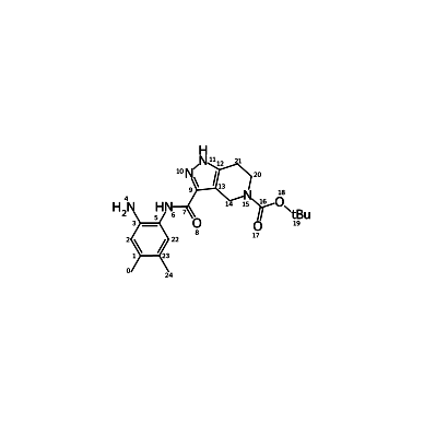 Cc1cc(N)c(NC(=O)c2n[nH]c3c2CN(C(=O)OC(C)(C)C)CC3)cc1C